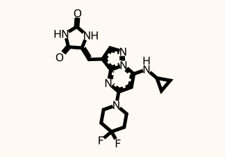 O=C1NC(=O)/C(=C/c2cnn3c(NC4CC4)cc(N4CCC(F)(F)CC4)nc23)N1